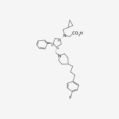 O=C(O)CN(CC1CC1)[C@@H]1C[C@H](CN2CCC(CCCc3ccc(F)cc3)CC2)[C@@H](c2ccccc2)C1